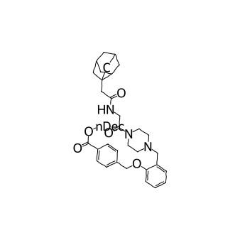 CCCCCCCCCCOC(=O)c1ccc(COc2ccccc2CN2CCN(C(=O)CNC(=O)CC34CC5CC(CC3C5)C4)CC2)cc1